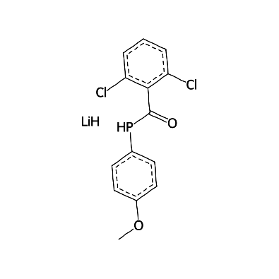 COc1ccc(PC(=O)c2c(Cl)cccc2Cl)cc1.[LiH]